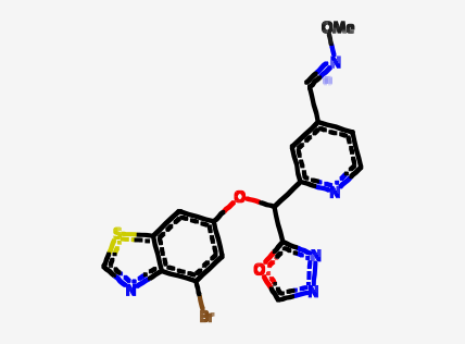 CO/N=C/c1ccnc(C(Oc2cc(Br)c3ncsc3c2)c2nnco2)c1